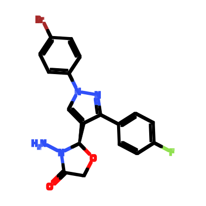 NN1C(=O)CO[C@@H]1c1cn(-c2ccc(Br)cc2)nc1-c1ccc(F)cc1